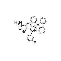 NC(=O)c1ccc2c(c(-c3cccc(F)c3)nn2C(c2ccccc2)(c2ccccc2)c2ccccc2)c1Br